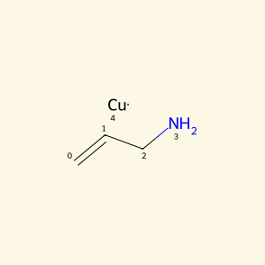 C=CCN.[Cu]